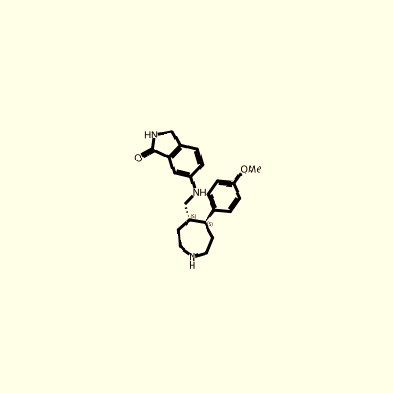 COc1ccc([C@H]2CCNCC[C@@H]2CNc2ccc3c(c2)C(=O)NC3)cc1